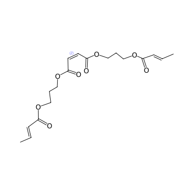 CC=CC(=O)OCCCOC(=O)/C=C\C(=O)OCCCOC(=O)C=CC